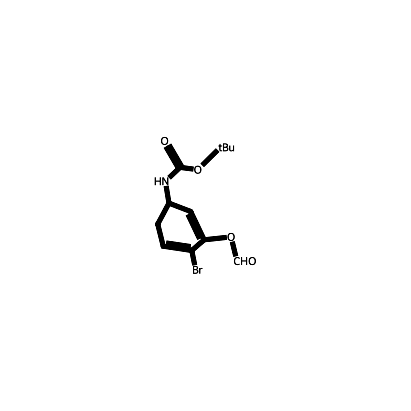 CC(C)(C)OC(=O)NC1C=C(OC=O)C(Br)=CC1